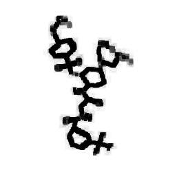 CCN(CC)[C@@H]1CCC(NC(=O)CNC(=O)c2cccc(C(F)(F)F)c2)[C@H](CS(=O)(=O)c2ccc(SC)cc2)C1